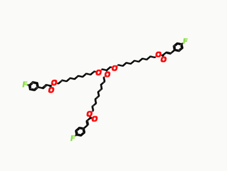 O=C(C=Cc1ccc(F)cc1)OCCCCCCCCCCOCC(COCCCCCCCCCCOC(=O)C=Cc1ccc(F)cc1)OCCCCCCCCCCOC(=O)C=Cc1ccc(F)cc1